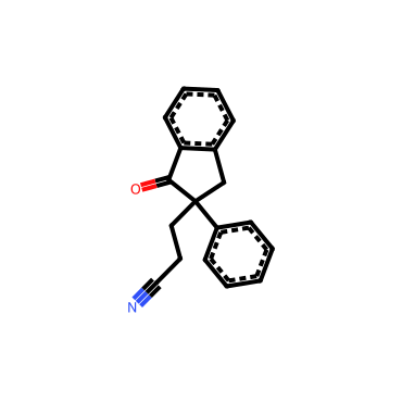 N#CCCC1(c2ccccc2)Cc2ccccc2C1=O